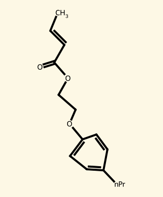 CC=CC(=O)OCCOc1ccc(CCC)cc1